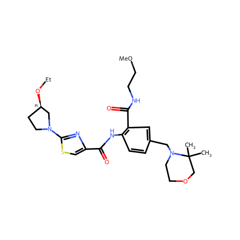 CCO[C@@H]1CCN(c2nc(C(=O)Nc3ccc(CN4CCOCC4(C)C)cc3C(=O)NCCOC)cs2)C1